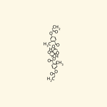 C=CC(=O)Oc1ccc(C(=O)O[C@@H]2CO[C@@H]3[C@H]2OC[C@H]3OC(=O)c2ccc(OC(=O)C=C)cc2C)c(C)c1